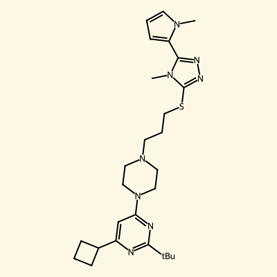 Cn1cccc1-c1nnc(SCCCN2CCN(c3cc(C4CCC4)nc(C(C)(C)C)n3)CC2)n1C